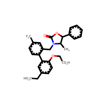 CC1C(c2ccccc2)OC(=O)N1Cc1cc(C(F)(F)F)ccc1-c1cc(CC(=O)O)ccc1OCC(=O)O